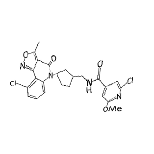 COc1cc(C(=O)NCC2CCC(n3c(=O)c4c(C)onc4c4c(Cl)cccc43)C2)cc(Cl)n1